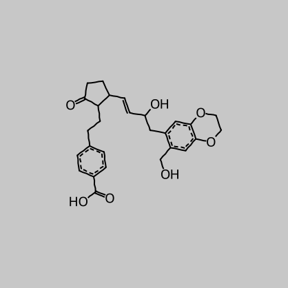 O=C(O)c1ccc(CCC2C(=O)CCC2/C=C/C(O)Cc2cc3c(cc2CO)OCCO3)cc1